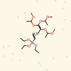 C=C[Si](OCC)(OCC)OCC.COC(C)OC([SiH3])=C(OC(C)OC)OC(C)OC